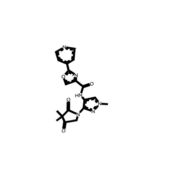 Cn1cc(NC(=O)c2coc(-c3c[c]ncc3)n2)c(N2CC(=O)C(C)(C)C2=O)n1